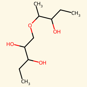 CCC(O)C(O)COC(C)C(O)CC